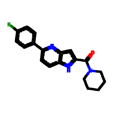 O=C(c1cc2nc(-c3ccc(F)cc3)ccc2[nH]1)N1CCCCC1